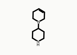 C1=CCN(C2CCNCC2)CC1